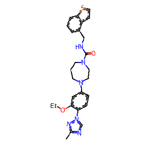 CCOc1cc(N2CCCN(C(=O)NCc3cccc4sccc34)CC2)ccc1-n1cnc(C)n1